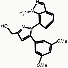 COc1cc(OC)cc(-c2cc(CO)nn2-c2cccc3cnn(C)c23)c1